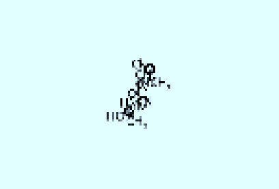 [CH2][C@@H]1C[C@@H](Nc2ncncc2C(=O)c2cc(C)n([C@@H](C)c3cccc(Cl)c3)n2)C[C@@H]1O